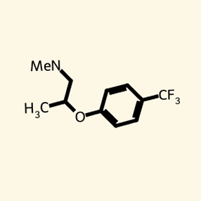 CNCC(C)Oc1ccc(C(F)(F)F)cc1